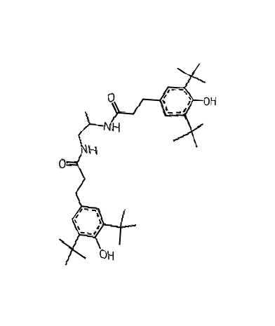 CC(CNC(=O)CCc1cc(C(C)(C)C)c(O)c(C(C)(C)C)c1)NC(=O)CCc1cc(C(C)(C)C)c(O)c(C(C)(C)C)c1